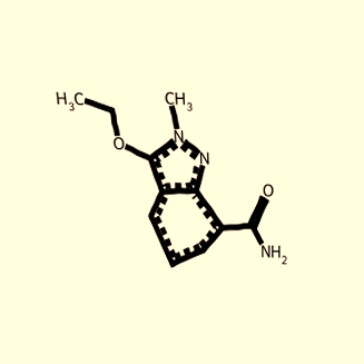 CCOc1c2cccc(C(N)=O)c2nn1C